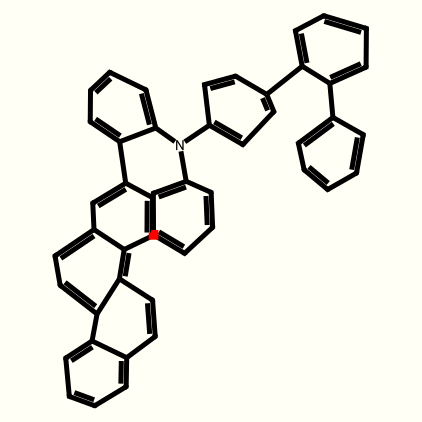 c1ccc(-c2ccccc2-c2ccc(N(c3ccccc3)c3ccccc3-c3ccc4c(ccc5c6ccccc6ccc45)c3)cc2)cc1